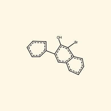 Oc1c(-c2ccccc2)cc2ccccc2c1Br